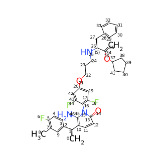 C=C(c1ccc(F)c(C)c1)c1ccc(=O)n(-c2c(F)cc(OCCCN[C@@H](Cc3ccccc3)C(=C)OC3CCCC3)cc2F)c1N